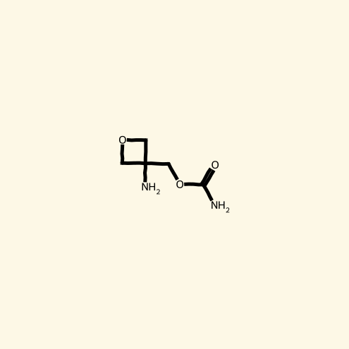 NC(=O)OCC1(N)COC1